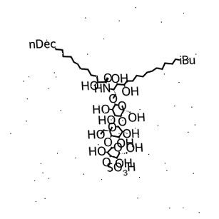 CCCCCCCCCCCCCCCCCCCC[C@@H](O)C(=O)N[C@@H](CO[C@@H]1O[C@H](CO)[C@@H](O[C@@H]2O[C@H](CO)[C@H](O[C@@H]3O[C@H](CO)[C@H](O)[C@H](OS(=O)(=O)O)[C@H]3O)[C@H](O)[C@H]2O)[C@H](O)[C@H]1O)[C@H](O)[C@H](O)CCCCCCCCCCCC(C)CC